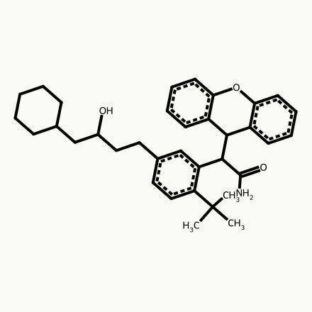 CC(C)(C)c1ccc(CCC(O)CC2CCCCC2)cc1C(C(N)=O)C1c2ccccc2Oc2ccccc21